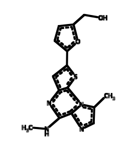 CNc1nc2cc(-c3ccc(CO)o3)sc2n2c(C)cnc12